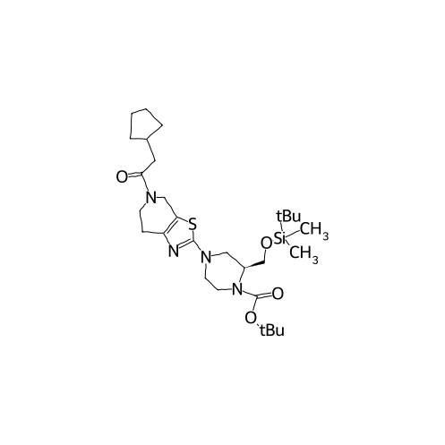 CC(C)(C)OC(=O)N1CCN(c2nc3c(s2)CN(C(=O)CC2CCCC2)CC3)C[C@H]1CO[Si](C)(C)C(C)(C)C